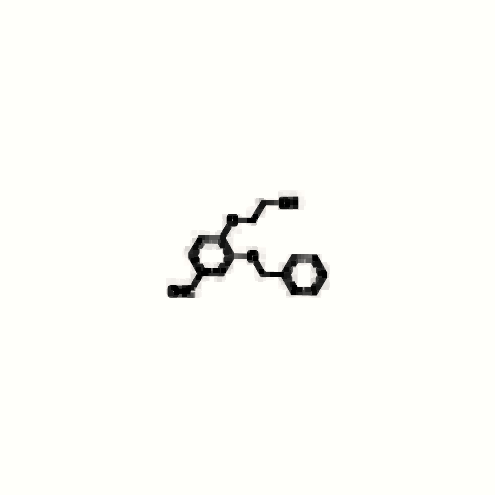 O=Cc1ccc(OCCO)c(OCc2ccccc2)c1